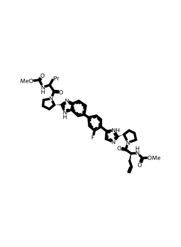 C=CC[C@H](NC(=O)OC)C(=O)N1CCC[C@H]1c1ncc(-c2ccc(-c3ccc4nc([C@@H]5CCCN5C(=O)C(NC(=O)OC)C(C)C)[nH]c4c3)cc2F)[nH]1